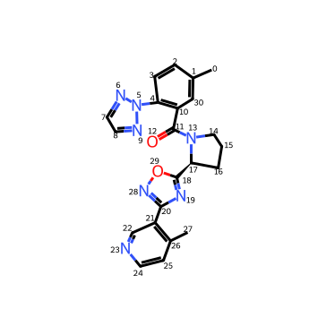 Cc1ccc(-n2nccn2)c(C(=O)N2CCC[C@H]2c2nc(-c3cnccc3C)no2)c1